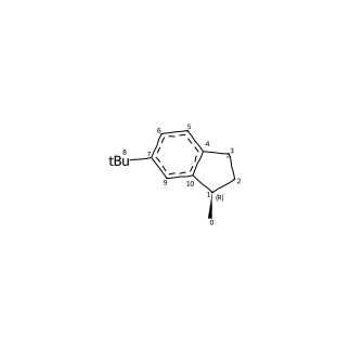 C[C@@H]1C[C]c2ccc(C(C)(C)C)cc21